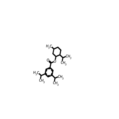 CC1CCC(C(C)C)C(OC(=O)c2cc(C(C)C)cc(C(C)C)c2)C1